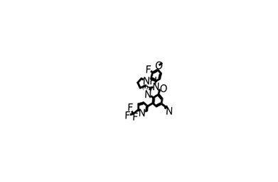 COc1ccc(-n2c([C@H]3CCCN3)nc3c(-c4ccc(C(F)(F)F)nc4)cc(C#N)cc3c2=O)cc1F